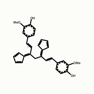 COc1cc(/C=C/C(CC(/C=C/c2ccc(O)c(OC)c2)=C2C=CC=C2)=C2C=CC=C2)ccc1O